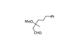 COC(C)(CC=O)CCCC(C)C